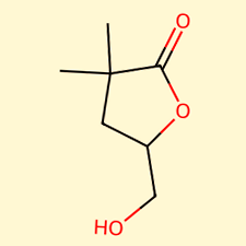 CC1(C)CC(CO)OC1=O